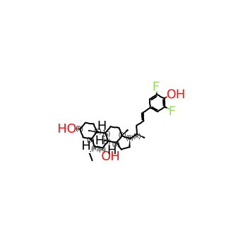 CC[C@H]1[C@@H](O)[C@@H]2[C@H](CC[C@]3(C)[C@@H]([C@H](C)CC=Cc4cc(F)c(O)c(F)c4)CC[C@@H]23)[C@@]2(C)CC[C@@H](O)C[C@@H]12